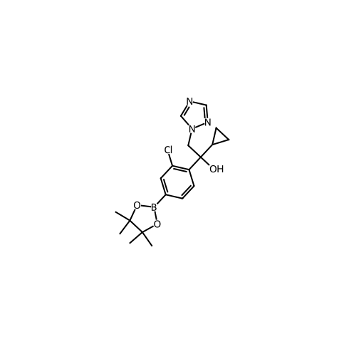 CC1(C)OB(c2ccc(C(O)(Cn3cncn3)C3CC3)c(Cl)c2)OC1(C)C